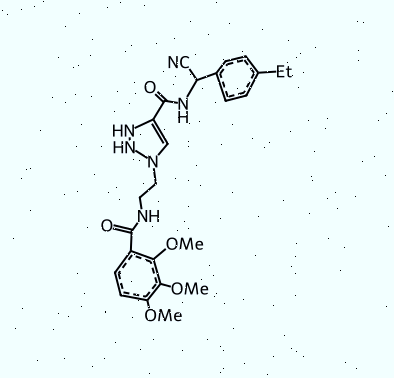 CCc1ccc(C(C#N)NC(=O)C2=CN(CCNC(=O)c3ccc(OC)c(OC)c3OC)NN2)cc1